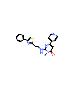 Cn1c(NCCc2nc(-c3ccccc3)cs2)nc(-c2ccncc2)cc1=O